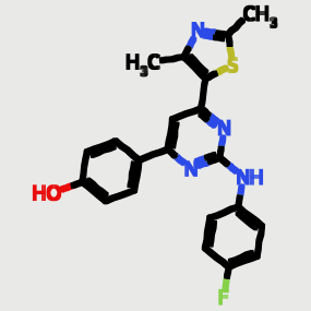 Cc1nc(C)c(-c2cc(-c3ccc(O)cc3)nc(Nc3ccc(F)cc3)n2)s1